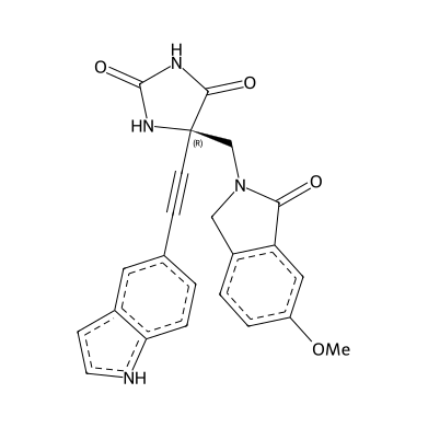 COc1ccc2c(c1)C(=O)N(C[C@@]1(C#Cc3ccc4[nH]ccc4c3)NC(=O)NC1=O)C2